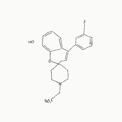 Cl.O=C(O)CN1CCC2(C=C(c3cccc(F)c3)c3ccccc3O2)CC1